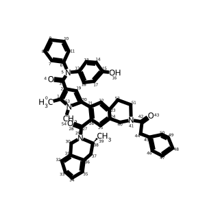 Cc1c(C(=O)N(c2ccccc2)c2ccc(O)cc2)cc(-c2cc3c(cc2C(=O)N2Cc4ccccc4C[C@H]2C)CN(C(=O)Cc2ccccc2)CC3)n1C